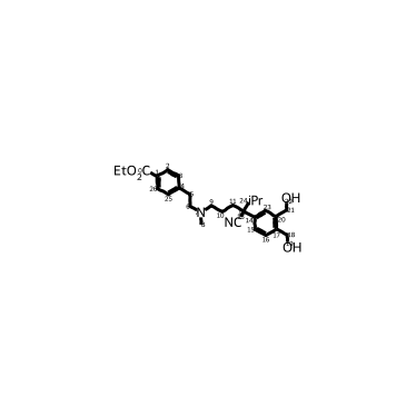 CCOC(=O)c1ccc(CCN(C)CCCC(C#N)(c2ccc(CO)c(CO)c2)C(C)C)cc1